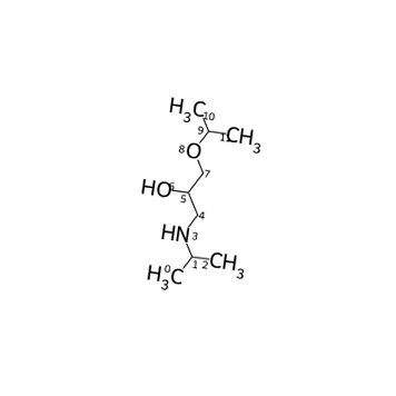 CC(C)NCC(O)COC(C)C